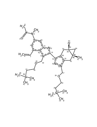 C=Cc1cc(N(C)C(C)=O)cc2nc(-c3nn(COCC[Si](C)(C)C)c4c3C[C@@H]3C[C@]3(C)C4)n(COCC[Si](C)(C)C)c12